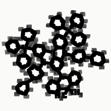 CC1(C)c2ccccc2N(c2cc3c4c(c2)N(c2ccc(-c5ccccc5)cc2)c2cc([Si](c5ccccc5)(c5ccccc5)c5ccccc5)ccc2B4c2ccc([Si](c4ccccc4)(c4ccccc4)c4ccccc4)cc2N3c2ccc(-c3ccccc3)cc2)c2ccccc21